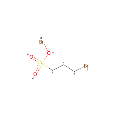 O=S(=O)(CCCBr)OBr